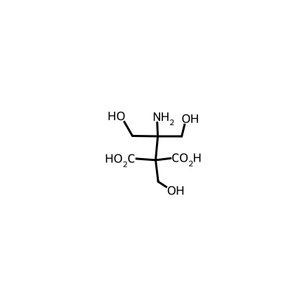 NC(CO)(CO)C(CO)(C(=O)O)C(=O)O